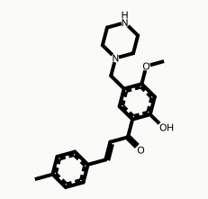 COc1cc(O)c(C(=O)/C=C/c2ccc(C)cc2)cc1CN1CCNCC1